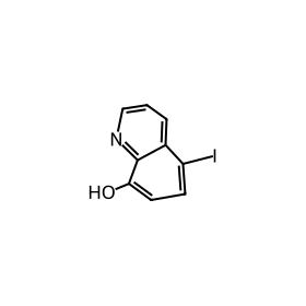 Oc1ccc(I)c2cccnc12